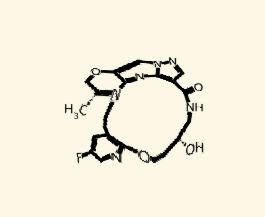 C[C@@H]1COc2cn3ncc4c3nc2N1Cc1cc(F)cnc1OC[C@@H](O)CNC4=O